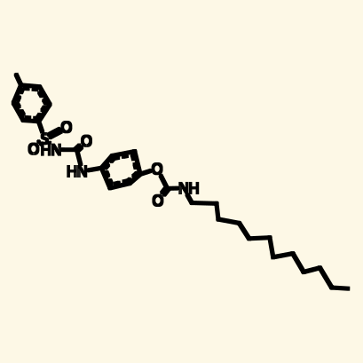 CCCCCCCCCCCCNC(=O)Oc1ccc(NC(=O)NS(=O)(=O)c2ccc(C)cc2)cc1